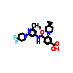 Cc1cc(NC(=O)c2ccc(C(=O)O)cc2N2CCC3(CC2)CC3)cc(N2CCC(F)(F)CC2)n1